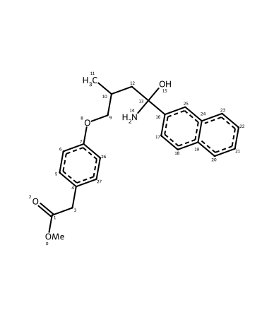 COC(=O)Cc1ccc(OCC(C)CC(N)(O)c2ccc3ccccc3c2)cc1